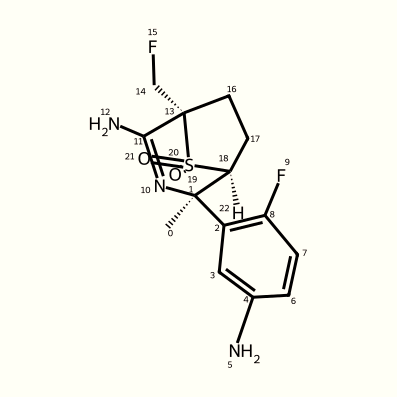 C[C@]1(c2cc(N)ccc2F)N=C(N)[C@@]2(CF)CC[C@@H]1S2(=O)=O